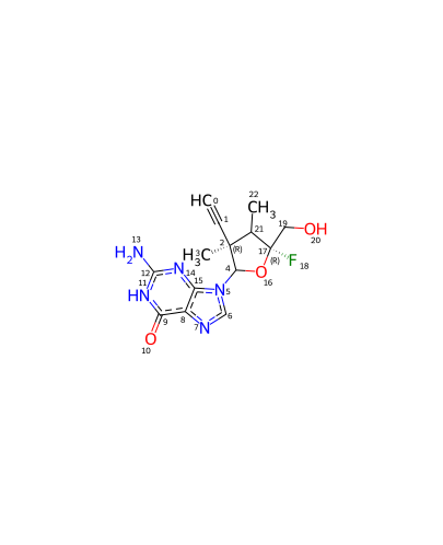 C#C[C@]1(C)C(n2cnc3c(=O)[nH]c(N)nc32)O[C@](F)(CO)C1C